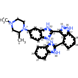 CC1CN(C)CCN1c1ccc2nc(-c3n[nH]c4cccc(-c5nc6ccccc6[nH]5)c34)[nH]c2c1